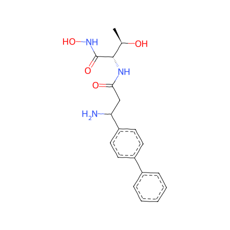 C[C@@H](O)[C@H](NC(=O)CC(N)c1ccc(-c2ccccc2)cc1)C(=O)NO